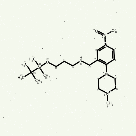 CN1CCN(c2ccc([N+](=O)[O-])cc2CNCCCO[Si](C)(C)C(C)(C)C)CC1